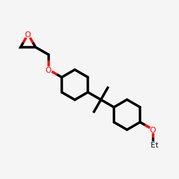 CCOC1CCC(C(C)(C)C2CCC(OCC3CO3)CC2)CC1